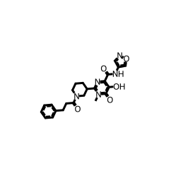 Cn1c(C2CCCN(C(=O)CCc3ccccc3)C2)nc(C(=O)Nc2cnoc2)c(O)c1=O